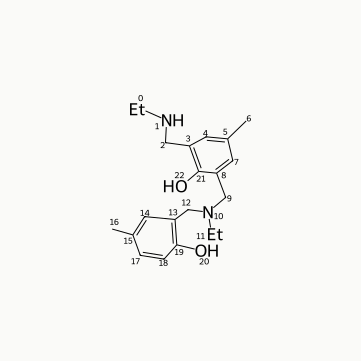 CCNCc1cc(C)cc(CN(CC)Cc2cc(C)ccc2O)c1O